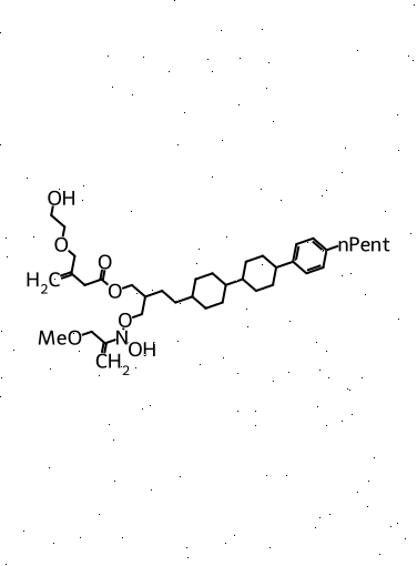 C=C(COCCO)CC(=O)OCC(CCC1CCC(C2CCC(c3ccc(CCCCC)cc3)CC2)CC1)CON(O)C(=C)COC